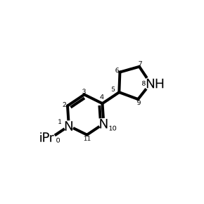 CC(C)N1C=CC(C2CCNC2)=NC1